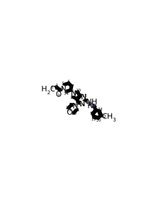 C=CC(=O)N1CCC[C@H](N2Cc3nc(N/N=C/c4cccc(C)c4)nc(N4CCOCC4)c3C2)C1